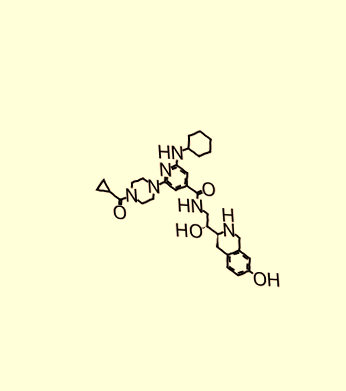 O=C(NC[C@@H](O)[C@@H]1Cc2ccc(O)cc2CN1)c1cc(NC2CCCCC2)nc(N2CCN(C(=O)C3CC3)CC2)c1